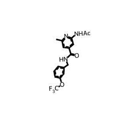 CC(=O)Nc1cc(C(=O)NCc2cccc(OC(F)(F)F)c2)cc(C)n1